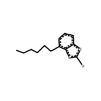 CCCCCCc1cccc2sc([O])nc12